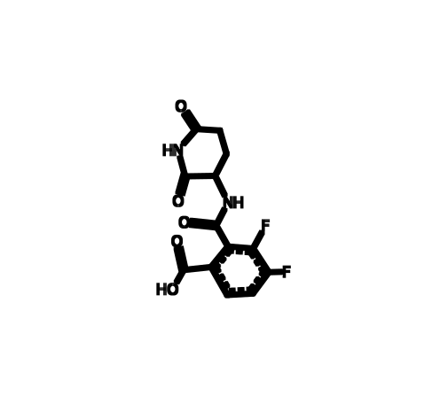 O=C1CCC(NC(=O)c2c(C(=O)O)ccc(F)c2F)C(=O)N1